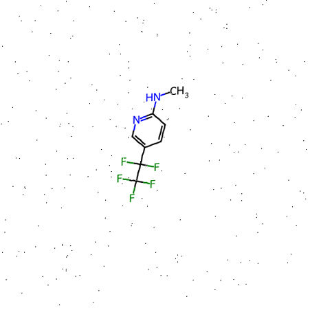 CNc1ccc(C(F)(F)C(F)(F)F)cn1